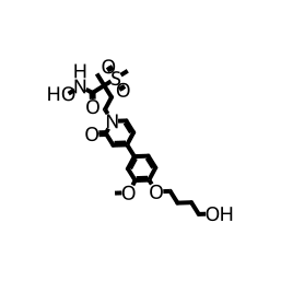 COc1cc(-c2ccn(CCC(C)(C(=O)NO)S(C)(=O)=O)c(=O)c2)ccc1OCCCCO